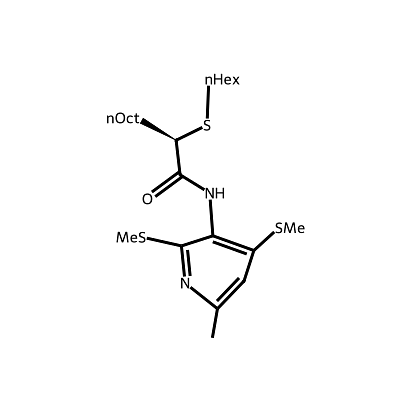 CCCCCCCC[C@@H](SCCCCCC)C(=O)Nc1c(SC)cc(C)nc1SC